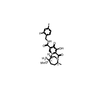 B[C@]1(OC)CC[C@H](C)N2C[C@H]1n1cc(C(=O)NCc3ccc(F)cc3F)c(=O)c(O)c1C2=O